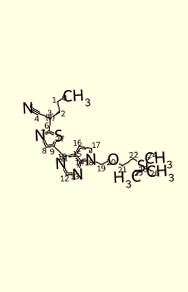 CCC[C@H](C#N)c1ncc(-c2ncnc3c2ccn3COCC[Si](C)(C)C)s1